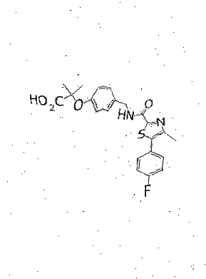 Cc1nc(C(=O)NCc2ccc(OC(C)(C)C(=O)O)cc2)sc1-c1ccc(F)cc1